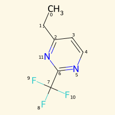 C[CH]c1ccnc(C(F)(F)F)n1